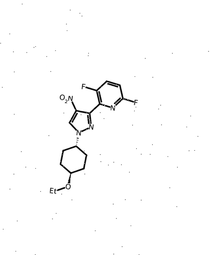 CCO[C@H]1CC[C@H](n2cc([N+](=O)[O-])c(-c3nc(F)ccc3F)n2)CC1